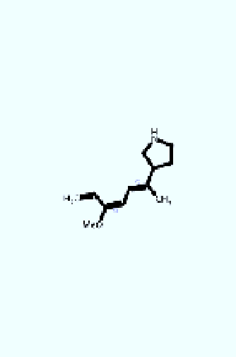 C=C/C(=C\C=C(/C)C1CCNC1)OC